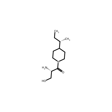 CC[C@H](C)C1CCN(C(=O)[C@@H](N)CO)CC1